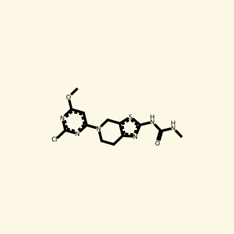 CNC(=O)Nc1nc2c(s1)CN(c1cc(OC)nc(Cl)n1)CC2